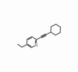 CCc1ccc(C#CC2CCCCC2)nc1